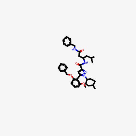 COc1cccc(OCc2ccccc2)c1-c1cc(C(=O)NC(CC(=O)NCc2ccccc2)CC(C)C)nn1C1CCC(C)CC1